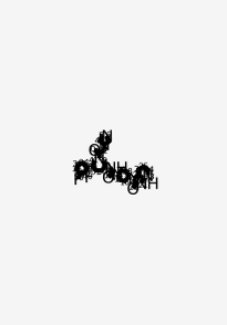 O=C(Cn1ccnc1)N1C[C@H](NC(=O)N2CCC(n3c(=O)[nH]c4ncccc43)CC2)CC[C@@H](c2cccc(F)c2F)C1